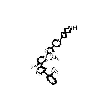 CC[C@H]1c2c([nH]c3nnc(-c4ccccc4O)cc23)CCN1c1ncc(C2CCN(C3CC4(CNC4)C3)CC2)cn1